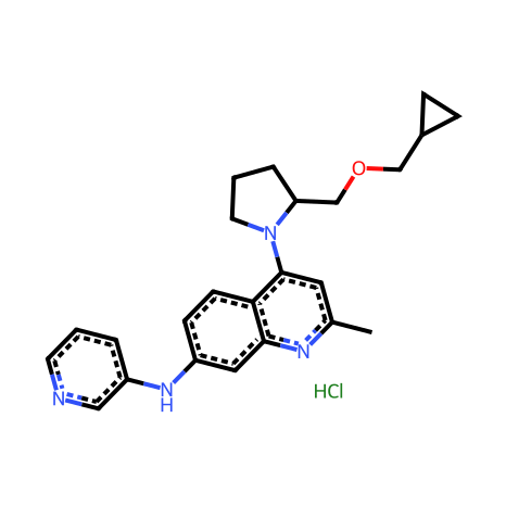 Cc1cc(N2CCCC2COCC2CC2)c2ccc(Nc3cccnc3)cc2n1.Cl